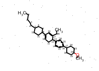 CCCCCC1CCC(C2=CCC(c3ccc(C4CCC(OC)CC4)cc3)C(CC)=C2)CC1